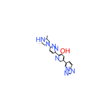 CC1CN(c2ccc(-c3ncc(-c4ccc5ncnn5c4)cc3O)nn2)C[C@H](C)N1